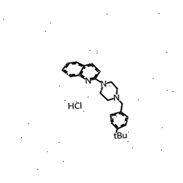 CC(C)(C)c1ccc(CN2CCN(c3ccc4ccccc4n3)CC2)cc1.Cl